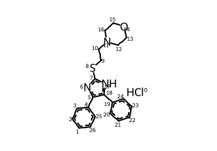 Cl.c1ccc(-c2nc(SCCN3CCOCC3)[nH]c2-c2ccccc2)cc1